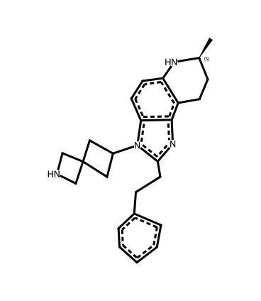 C[C@H]1CCc2c(ccc3c2nc(CCc2ccccc2)n3C2CC3(CNC3)C2)N1